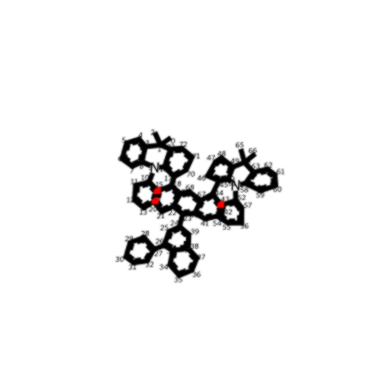 CC1(C)c2ccccc2N(c2ccccc2)c2c(-c3cccc4c(-c5cc(-c6ccccc6)c6ccccc6c5)c5cccc(-c6cccc7c6N(c6ccccc6)c6ccccc6C7(C)C)c5cc34)cccc21